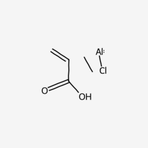 C=CC(=O)O.CC.[Al][Cl]